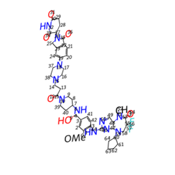 COc1cc(C(O)NC2CCN(C(=O)CCN3CCN(c4ccc5c(c4)CN(C4CCC(=O)NC4=O)C5=O)CC3)CC2)ccc1NC1=NC2C(C=N1)N(C)C(=O)C(F)(F)CN2C1CCCC1